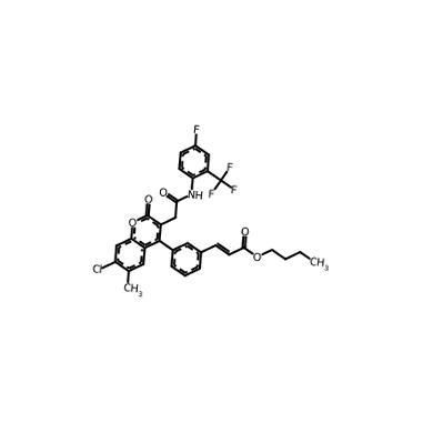 CCCCOC(=O)C=Cc1cccc(-c2c(CC(=O)Nc3ccc(F)cc3C(F)(F)F)c(=O)oc3cc(Cl)c(C)cc23)c1